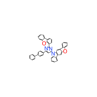 c1ccc(-c2ccc(-c3cc(-n4c5ccccc5c5cc6oc7ccccc7c6cc54)nc(-c4cccc5c4oc4ccccc45)n3)cc2)cc1